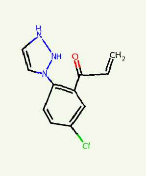 C=CC(=O)c1cc(Cl)ccc1N1C=CNN1